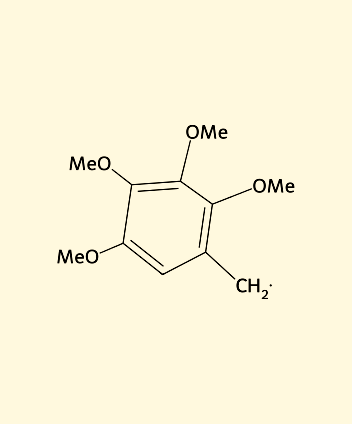 [CH2]c1cc(OC)c(OC)c(OC)c1OC